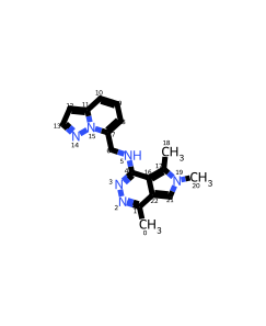 Cc1nnc(NCc2cccc3ccnn23)c2c(C)n(C)cc12